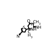 CN1C(=N)N[C@](C)(C2CC(C#N)=CS2)CC1=O